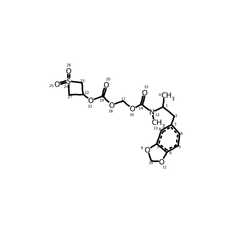 CC(Cc1ccc2c(c1)OCO2)N(C)C(=O)OCOC(=O)OC1CS(=O)(=O)C1